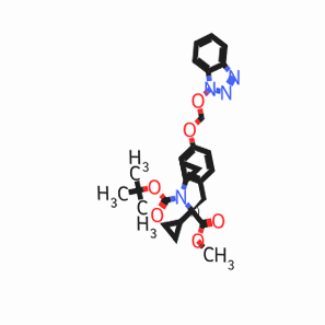 COC(=O)[C@](Cc1ccc(OCOn2nnc3ccccc32)cc1)(C1CC1)N(C(=O)OC(C)(C)C)C1CC1